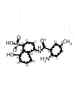 Cc1ccc(N)c(C(=O)Nc2ccc(S(=O)(=O)O)c3c(O)cccc23)c1